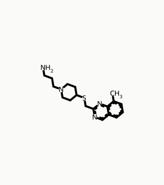 Cc1cccc2cnc(CSC3CCN(CCCN)CC3)nc12